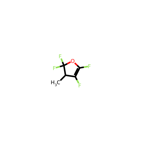 CC1C(F)=C(F)OC1(F)F